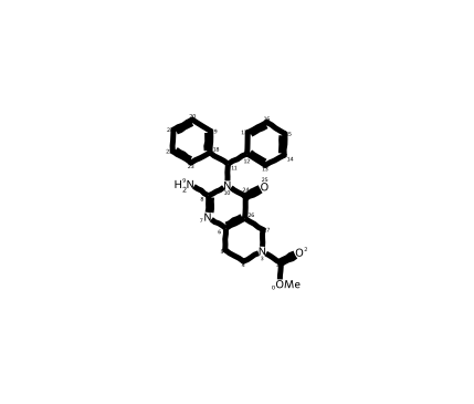 COC(=O)N1CCc2nc(N)n(C(c3ccccc3)c3ccccc3)c(=O)c2C1